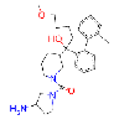 COCCCCC(O)(c1ccccc1-c1ccccc1C)C1CCCN(C(=O)N2CCC(N)C2)C1